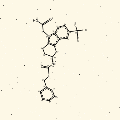 O=C(O)Cn1c2c(c3cc(C(F)(F)F)ccc31)C[C@@H](NC(=O)OCc1ccccc1)CC2